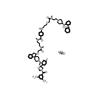 CN(CCN1CCC(N(C(=O)O)c2ccccc2-c2ccccc2)CC1)C(=O)COCCCNc1ccc(C(=O)N(C)CCCN(C)C(=O)CO[C@H]2Cc3ccccc3C23CCN(CC[C@]2(c4ccc(F)cc4)CN(C(=O)c4cc(C(F)(F)F)cc(C(F)(F)F)c4)CO2)CC3)cc1.Cl.Cl.Cl